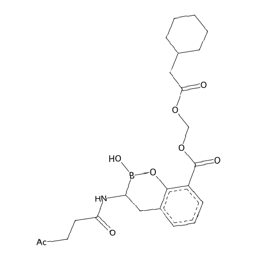 CC(=O)CCC(=O)NC1Cc2cccc(C(=O)OCOC(=O)CC3CCCCC3)c2OB1O